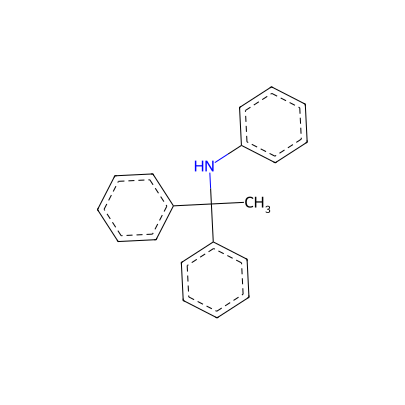 CC(Nc1ccccc1)(c1ccccc1)c1ccccc1